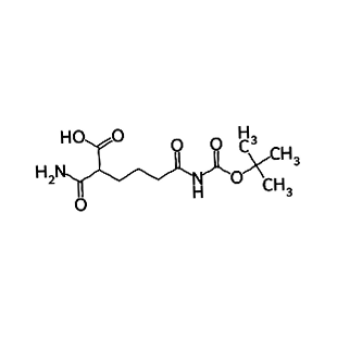 CC(C)(C)OC(=O)NC(=O)CCCC(C(N)=O)C(=O)O